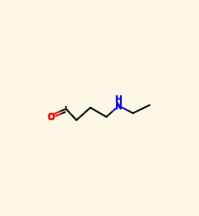 CCNCCC[C]=O